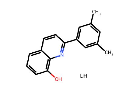 Cc1cc(C)cc(-c2ccc3cccc(O)c3n2)c1.[LiH]